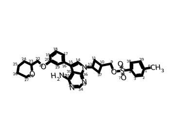 Cc1ccc(S(=O)(=O)OCC2CC(n3cc(-c4cccc(OCC5CCCCO5)c4)c4c(N)ncnc43)C2)cc1